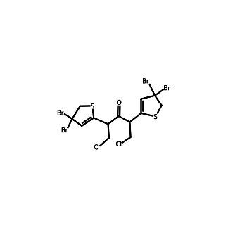 O=C(C(CCl)C1=CC(Br)(Br)CS1)C(CCl)C1=CC(Br)(Br)CS1